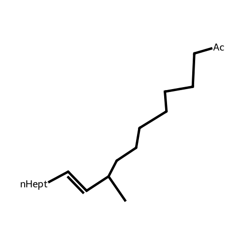 CCCCCCC/C=C/C(C)CCCCCCCC(C)=O